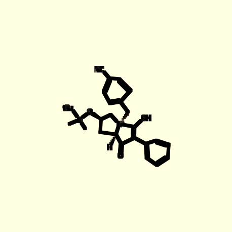 CC(C)(C)[Si](C)(C)O[C@@H]1C[C@@H]2C(=O)C(c3ccccc3)=C(O)[N@+]2(Cc2ccc(C#N)cc2)C1